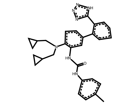 Cc1ccc(NC(=O)Nc2cc(-c3ccccc3-c3nnn[nH]3)ccc2N(CC2CC2)CC2CC2)cc1